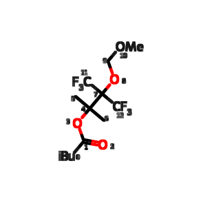 CCC(C)C(=O)OC(C)(C)C(OCOC)(C(F)(F)F)C(F)(F)F